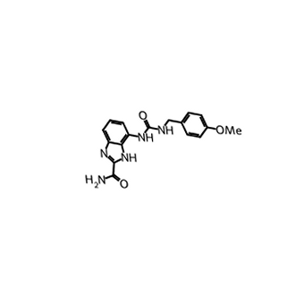 COc1ccc(CNC(=O)Nc2cccc3nc(C(N)=O)[nH]c23)cc1